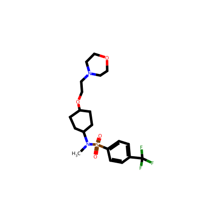 CN(C1CCC(OCCN2CCOCC2)CC1)S(=O)(=O)c1ccc(C(F)(F)F)cc1